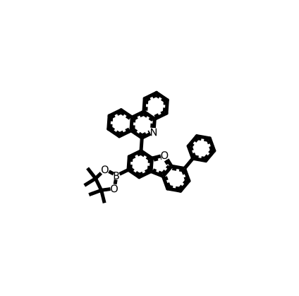 CC1(C)OB(c2cc(-c3nc4ccccc4c4ccccc34)c3oc4c(-c5ccccc5)cccc4c3c2)OC1(C)C